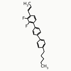 CC=Cc1ccc(-c2ccc(-c3ccc(CCCCC)cc3)cc2)c(F)c1F